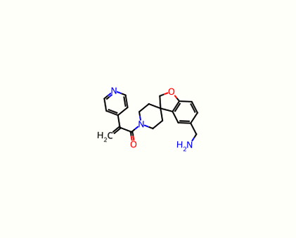 C=C(C(=O)N1CCC2(CC1)COc1ccc(CN)cc12)c1ccncc1